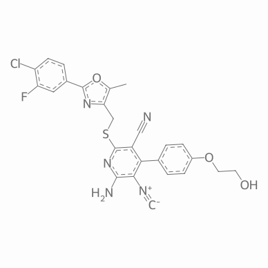 [C-]#[N+]c1c(N)nc(SCc2nc(-c3ccc(Cl)c(F)c3)oc2C)c(C#N)c1-c1ccc(OCCO)cc1